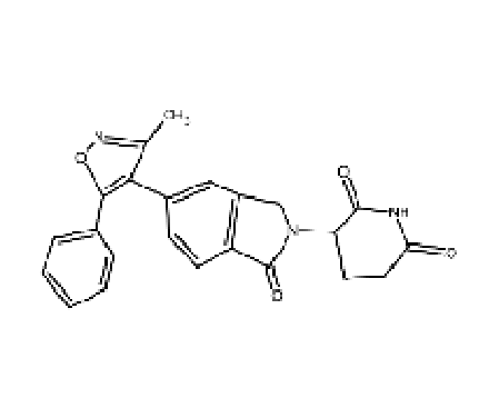 Cc1noc(-c2ccccc2)c1-c1ccc2c(c1)CN(C1CCC(=O)NC1=O)C2=O